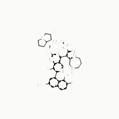 CCc1c(F)ccc2cc(O)cc(-c3ncc4c(-c5c(S(=O)(=O)NC)nn6c5CNCCC6)nc(OC[C@@]56CCCN5C[C@H](F)C6)nc4c3F)c12